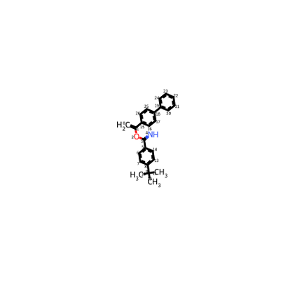 C=C(OC(=N)c1ccc(C(C)(C)C)cc1)c1ccc(-c2ccccc2)cc1